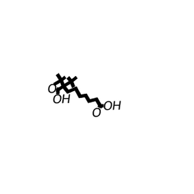 CC(C)(C)C(CCCCCCC(=O)O)(C(=O)O)C(C)(C)C